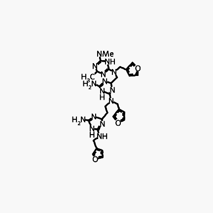 CNC1=NC(C)N=C(N(Cc2ccoc2)CC2N=C(N)NC(N(CCC3N=C(N)NC(NCc4ccoc4)=N3)Cc3ccoc3)=N2)N1